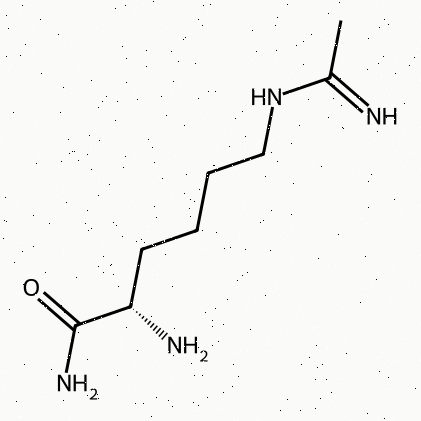 CC(=N)NCCCC[C@H](N)C(N)=O